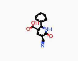 N#Cc1cc(C(=O)O)c(-c2ccccc2)[nH]c1=O